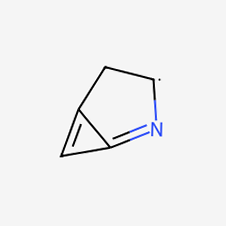 [CH]1CC2=CC2=N1